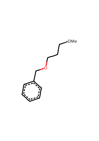 COCCCOCc1ccccc1